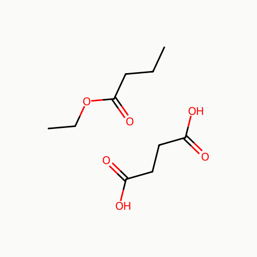 CCCC(=O)OCC.O=C(O)CCC(=O)O